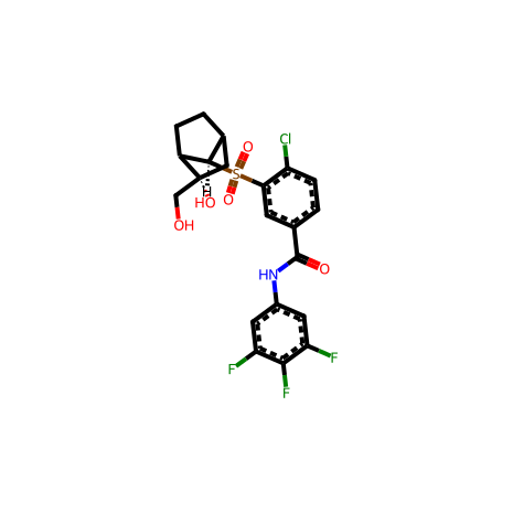 O=C(Nc1cc(F)c(F)c(F)c1)c1ccc(Cl)c(S(=O)(=O)[C@@H]2C3CCC2[C@](O)(CO)C3)c1